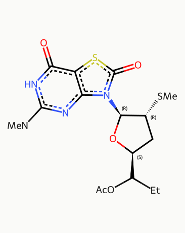 CCC(OC(C)=O)[C@@H]1C[C@@H](SC)[C@H](n2c(=O)sc3c(=O)[nH]c(NC)nc32)O1